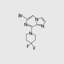 FC1(F)CCN(c2nc(Br)cn3ccnc23)CC1